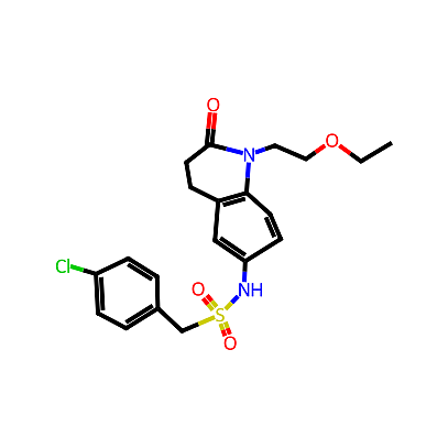 CCOCCN1C(=O)CCc2cc(NS(=O)(=O)Cc3ccc(Cl)cc3)ccc21